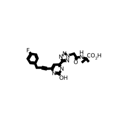 CC(C)(NC(=O)Cn1nnc(-c2cc(C#CCc3ccc(F)cc3)nc(O)n2)n1)C(=O)O